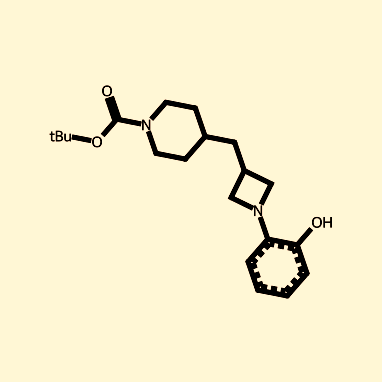 CC(C)(C)OC(=O)N1CCC(CC2CN(c3ccccc3O)C2)CC1